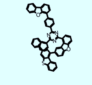 c1ccc(-c2cc(-c3ccc4oc5cccc(-c6nc(-c7ccccc7)nc(-c7ccc(-c8cccc9c8oc8ccccc89)cc7)n6)c5c4c3)c3c(c2)sc2ccccc23)cc1